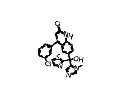 Cn1cncc1C(O)(c1ccc2[nH]c(=O)cc(-c3cccc(Cl)c3)c2c1)c1nccs1